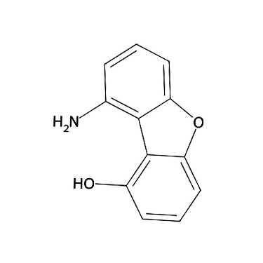 Nc1cccc2oc3cccc(O)c3c12